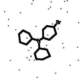 BrC1CCC(N(C2CCCCC2)C2CCCCC2)CC1